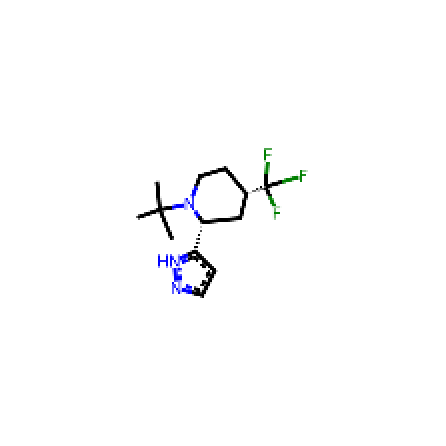 CC(C)(C)N1CC[C@H](C(F)(F)F)C[C@@H]1c1ccn[nH]1